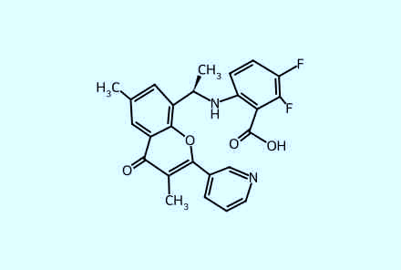 Cc1cc([C@@H](C)Nc2ccc(F)c(F)c2C(=O)O)c2oc(-c3cccnc3)c(C)c(=O)c2c1